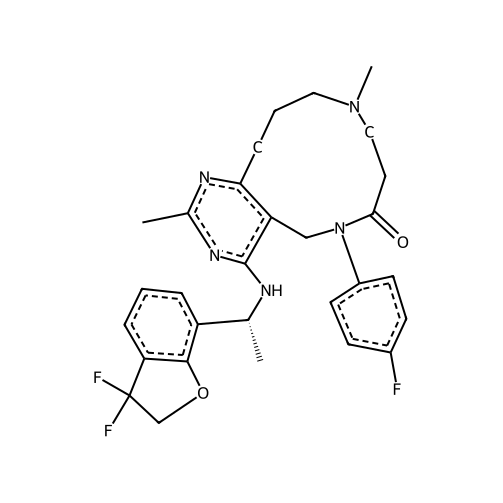 Cc1nc2c(c(N[C@H](C)c3cccc4c3OCC4(F)F)n1)CN(c1ccc(F)cc1)C(=O)CCN(C)CCC2